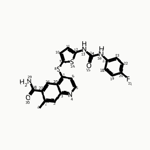 Cc1cc2nccc(Sc3ccc(NC(=O)Nc4ccc(F)cc4)s3)c2cc1C(N)=O